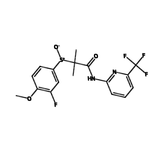 COc1ccc([S+]([O-])C(C)(C)C(=O)Nc2cccc(C(F)(F)F)n2)cc1F